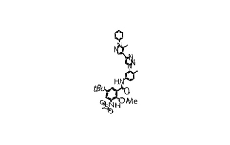 COc1c(NS(C)(=O)=O)cc(C(C)(C)C)cc1C(=O)Nc1ccc(C)c(-n2cc(-c3cnn(-c4ccccc4)c3C)nn2)c1